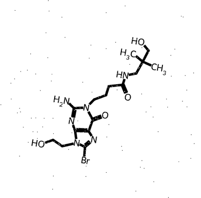 CC(C)(CO)CNC(=O)CCCn1c(N)nc2c(nc(Br)n2CCO)c1=O